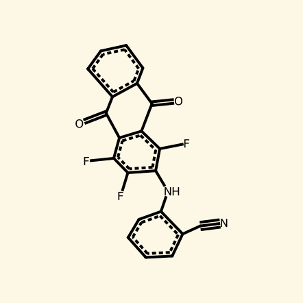 N#Cc1ccccc1Nc1c(F)c(F)c2c(c1F)C(=O)c1ccccc1C2=O